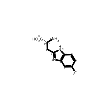 N[C@H](Cc1nc2cc(Cl)ccc2[nH]1)C(=O)O